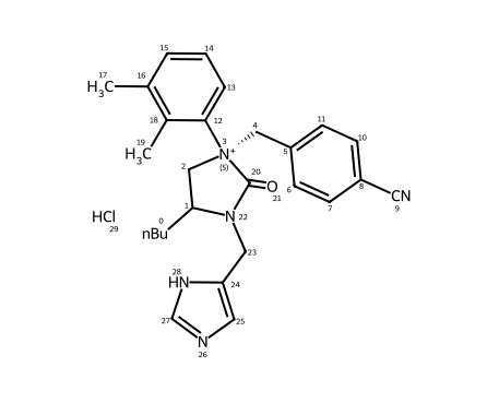 CCCCC1C[N@@+](Cc2ccc(C#N)cc2)(c2cccc(C)c2C)C(=O)N1Cc1cnc[nH]1.Cl